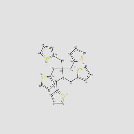 c1csc(CC(Cc2cccs2)C(Cc2cccs2)(Cc2cccs2)Cc2cccs2)c1